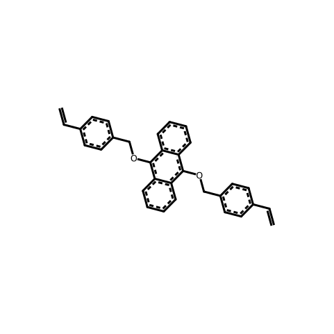 C=Cc1ccc(COc2c3ccccc3c(OCc3ccc(C=C)cc3)c3ccccc23)cc1